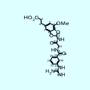 COc1cc(CCC(=O)O)cc2c1OC(NC(=O)CNC(=O)c1cccc(NC(=N)N)c1)O2